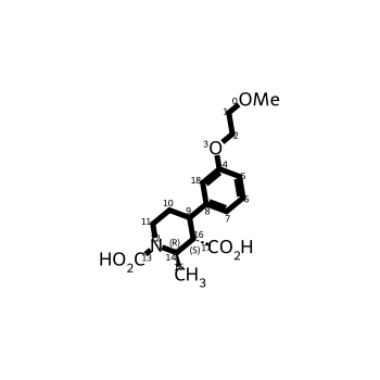 COCCOc1cccc(C2CCN(C(=O)O)[C@H](C)[C@H]2C(=O)O)c1